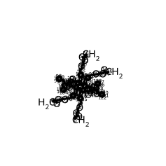 C=CC(=O)OCCOCCc1ccc(Oc2cc3c4c(cc(Oc5ccc(CCOCCOC(=O)C=C)cc5)c5c6c(Oc7ccc(CCOCCOC(=O)C=C)cc7)cc7c8c(cc(Oc9ccc(CCOCCOC(=O)C=C)cc9)c(c2c45)c86)C(=O)N(C(C(=O)N(Cc2ccccc2)Cc2ccccc2)C(C)CC)C7=O)C(=O)N(C(C(=O)N(Cc2ccccc2)Cc2ccccc2)C(C)CC)C3=O)cc1